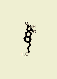 CCCCc1ccc2c(c1)CC1(CC(=O)NC1=O)C2